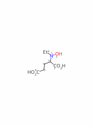 CCN(O)C(CCC(=O)O)C(=O)O